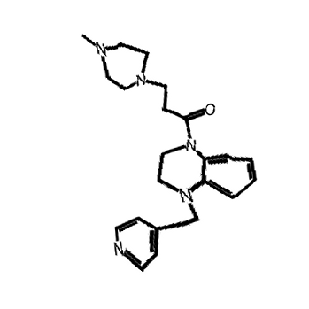 CN1CCN(CCC(=O)N2CCN(Cc3ccncc3)c3ccccc32)CC1